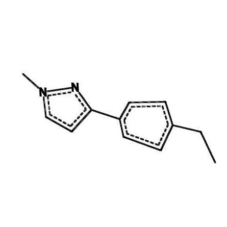 CCc1ccc(-c2ccn(C)n2)cc1